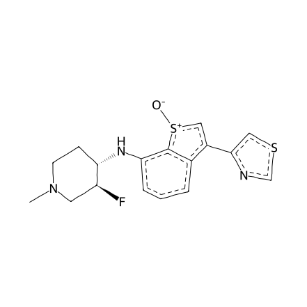 CN1CC[C@H](Nc2cccc3c(-c4cscn4)c[s+]([O-])c23)[C@@H](F)C1